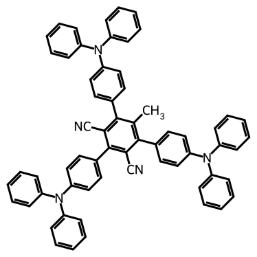 Cc1c(-c2ccc(N(c3ccccc3)c3ccccc3)cc2)c(C#N)c(-c2ccc(N(c3ccccc3)c3ccccc3)cc2)c(C#N)c1-c1ccc(N(c2ccccc2)c2ccccc2)cc1